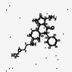 COCCNc1ncc2c3[nH]nc(N)c3c(=O)n(-c3ccccc3)c2n1